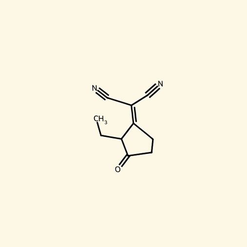 CCC1C(=O)CCC1=C(C#N)C#N